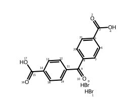 Br.Br.O=C(O)c1ccc(C(=O)c2ccc(C(=O)O)cc2)cc1